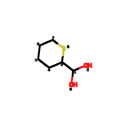 OC(O)C1CCCCS1